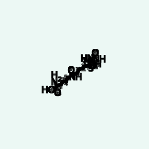 NC(CCCCNC(=O)CCCCC1SC[C@H]2NC(=O)N[C@@H]12)C(=O)O